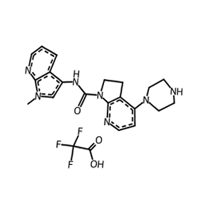 Cn1cc(NC(=O)N2CCc3c(N4CCNCC4)ccnc32)c2cccnc21.O=C(O)C(F)(F)F